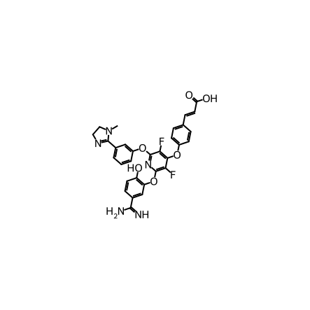 CN1CCN=C1c1cccc(Oc2nc(Oc3cc(C(=N)N)ccc3O)c(F)c(Oc3ccc(/C=C/C(=O)O)cc3)c2F)c1